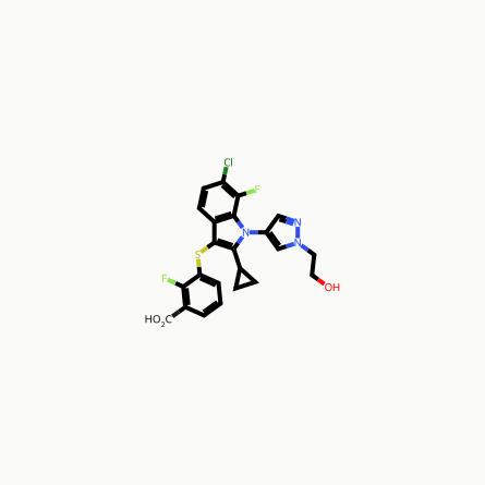 O=C(O)c1cccc(Sc2c(C3CC3)n(-c3cnn(CCO)c3)c3c(F)c(Cl)ccc23)c1F